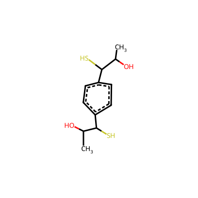 CC(O)C(S)c1ccc(C(S)C(C)O)cc1